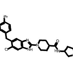 CC(C)c1ccc(Cc2cc3nc(N4CCC(C(=O)NC5CCOC5)CC4)[nH]c3cc2Cl)cc1